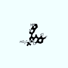 CC(c1nn(C(C)(C)C(=O)O)cc1-c1cnc2[nH]ccc2c1)c1c(Cl)ccc(F)c1Cl